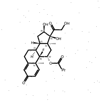 CC(C)C(=O)O[C@H]1C[C@@]2(C)[C@@H](C[C@@H](O)[C@]2(O)C(=O)CO)[C@@H]2CCC3=CC(=O)C=C[C@]3(C)[C@@]12F